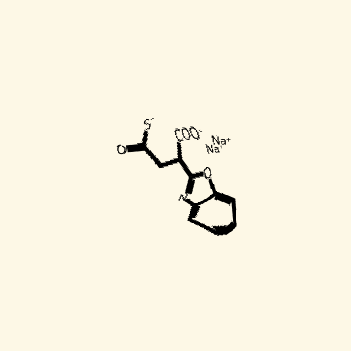 O=C([S-])CC(C(=O)[O-])c1nc2ccccc2o1.[Na+].[Na+]